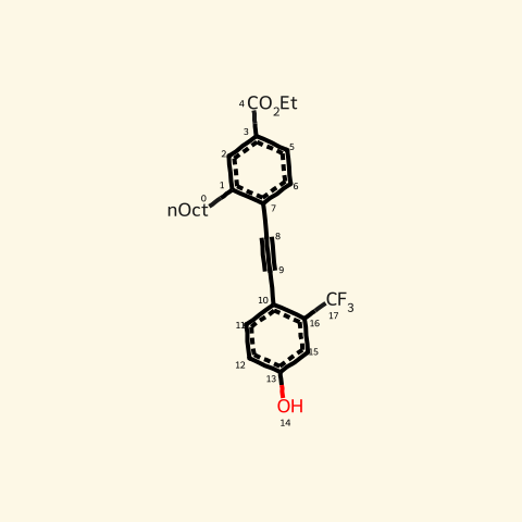 CCCCCCCCc1cc(C(=O)OCC)ccc1C#Cc1ccc(O)cc1C(F)(F)F